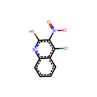 O=[N+]([O-])c1c(S)nc2ccccc2c1Cl